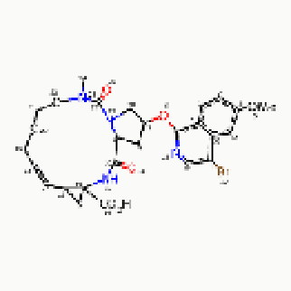 COc1ccc2c(OC3CC4C(=O)NC5(C(=O)O)CC5C=CCCCCN(C)C(=O)N4C3)ncc(Br)c2c1